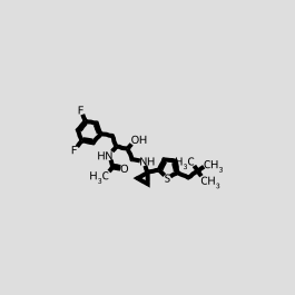 CC(=O)NC(Cc1cc(F)cc(F)c1)C(O)CNC1(c2ccc(CC(C)(C)C)s2)CC1